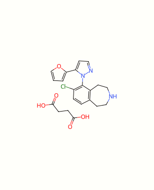 Clc1ccc2c(c1-n1nccc1-c1ccco1)CCNCC2.O=C(O)CCC(=O)O